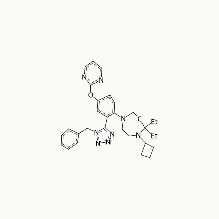 CCC1(CC)CCN(c2ccc(Oc3ncccn3)cc2-c2nnnn2Cc2ccccc2)CCN1C1CCC1